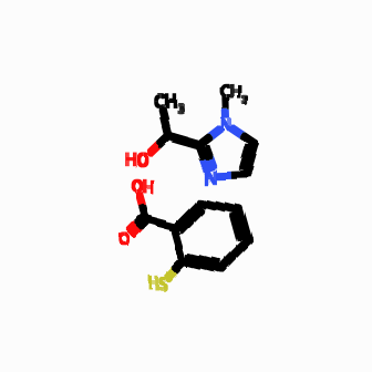 CC(O)c1nccn1C.O=C(O)c1ccccc1S